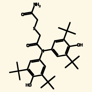 CC(C)(C)c1cc(N(C(=O)CSCC(N)=O)c2cc(C(C)(C)C)c(O)c(C(C)(C)C)c2)cc(C(C)(C)C)c1O